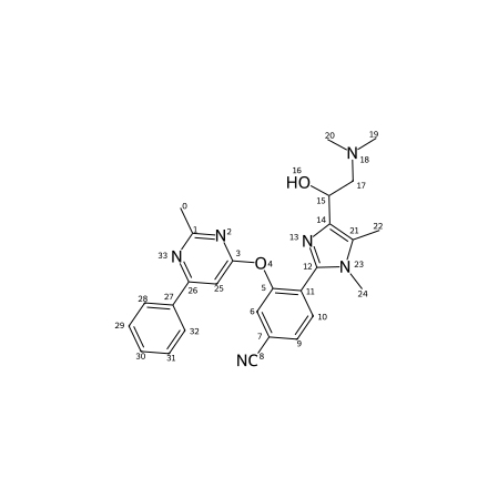 Cc1nc(Oc2cc(C#N)ccc2-c2nc(C(O)CN(C)C)c(C)n2C)cc(-c2ccccc2)n1